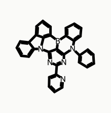 c1ccc(N2c3ccccc3B3c4c2nc(-c2ccccn2)nc4-n2c4ccccc4c4cccc3c42)cc1